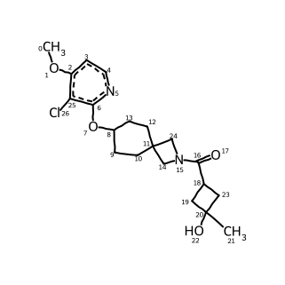 COc1ccnc(OC2CCC3(CC2)CN(C(=O)C2CC(C)(O)C2)C3)c1Cl